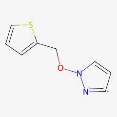 [c]1ccn(OCc2cccs2)n1